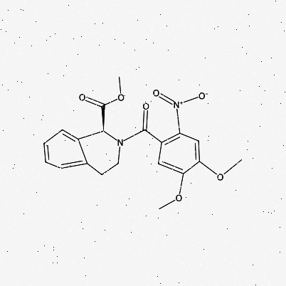 COC(=O)[C@@H]1c2ccccc2CCN1C(=O)c1cc(OC)c(OC)cc1[N+](=O)[O-]